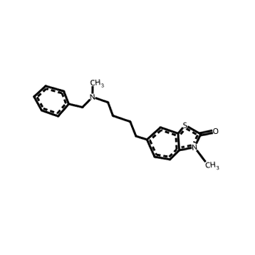 CN(CCCCc1ccc2c(c1)sc(=O)n2C)Cc1ccccc1